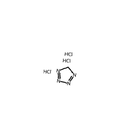 C1N=NN=N1.Cl.Cl.Cl